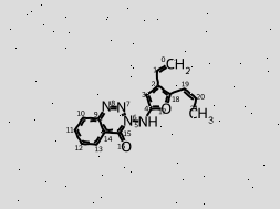 C=Cc1cc(Nn2nnc3ccccc3c2=O)oc1/C=C\C